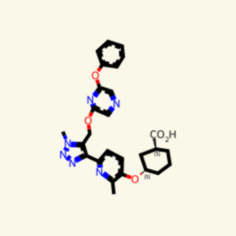 Cc1nc(-c2nnn(C)c2COc2cncc(Oc3ccccc3)n2)ccc1O[C@H]1CCC[C@H](C(=O)O)C1